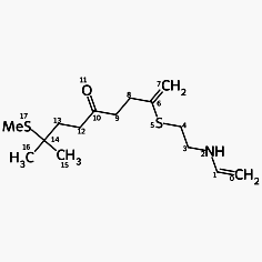 C=CNCCSC(=C)CCC(=O)CCC(C)(C)SC